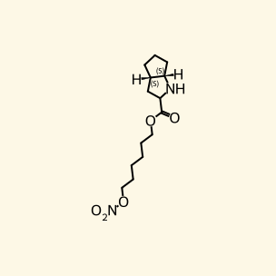 O=C(OCCCCCCO[N+](=O)[O-])C1C[C@@H]2CCC[C@@H]2N1